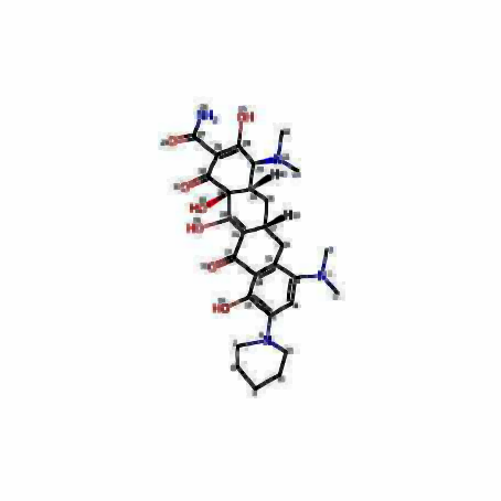 CN(C)c1cc(N2CCCCC2)c(O)c2c1C[C@H]1C[C@H]3[C@H](N(C)C)C(O)=C(C(N)=O)C(=O)[C@@]3(O)C(O)=C1C2=O